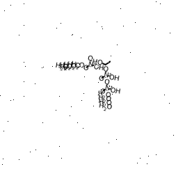 CCO.O.O.O.O.O.O.O.O.O.O=[N+]([O-])O.O=[N+]([O-])O.O=[N+]([O-])O.[Fe]